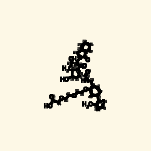 Cc1ncsc1-c1ccc(CNC(=O)[C@@H]2C[C@@H](O)CN2C(=O)[C@H](C(C)C)N2Cc3ccccc3C2=O)c(OCCOCCOCC(=O)O)c1